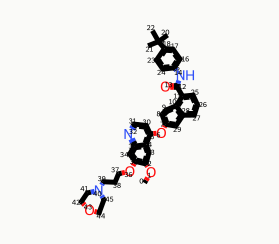 COc1cc2c(Oc3ccc4c(C(=O)Nc5ccc(C(C)(C)C)cc5)cccc4c3)ccnc2cc1OCCCN1CCOCC1